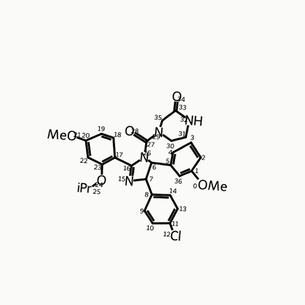 COc1cccc(C2C(c3ccc(Cl)cc3)N=C(c3ccc(OC)cc3OC(C)C)N2C(=O)N2CCNC(=O)C2)c1